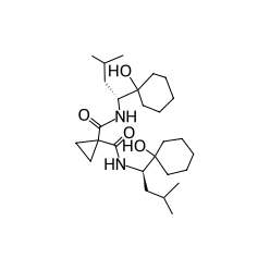 CC(C)C[C@@H](NC(=O)C1(C(=O)N[C@H](CC(C)C)C2(O)CCCCC2)CC1)C1(O)CCCCC1